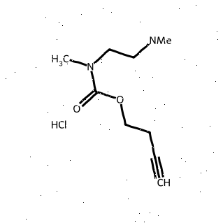 C#CCCOC(=O)N(C)CCNC.Cl